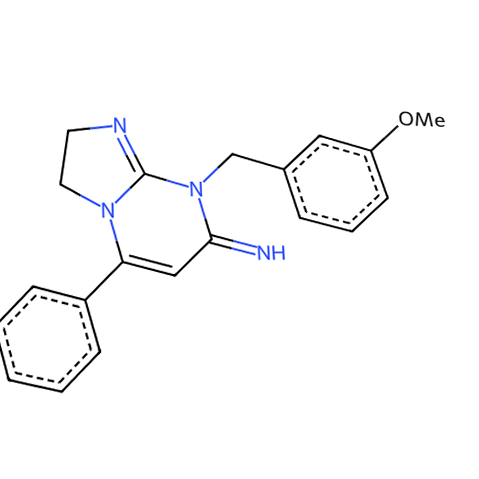 COc1cccc(CN2C(=N)C=C(c3ccccc3)N3CCN=C23)c1